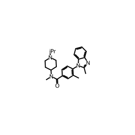 Cc1cc(C(=O)N(C)C2CCN(C(C)C)CC2)ccc1-n1c(C)nc2ccccc21